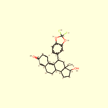 CC12CC(c3ccc4c(c3)OC(F)(F)O4)C3=C4CCC(=O)C=C4CCC3C1CCC2O